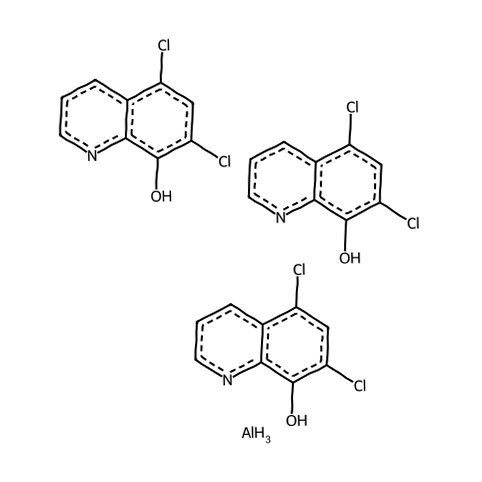 Oc1c(Cl)cc(Cl)c2cccnc12.Oc1c(Cl)cc(Cl)c2cccnc12.Oc1c(Cl)cc(Cl)c2cccnc12.[AlH3]